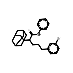 O=C(Nc1ccccc1)C(CCCc1cccc(Br)c1)C12CC3CC(CC(C3)C1)C2